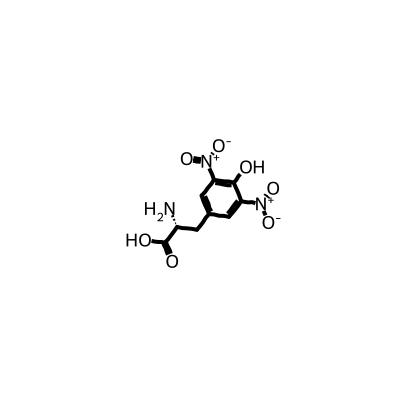 N[C@H](Cc1cc([N+](=O)[O-])c(O)c([N+](=O)[O-])c1)C(=O)O